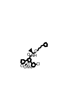 COCOc1c(-c2cccc(Cl)c2)cc(C(=O)NC(COCCCCc2ccccc2)C2CC2)cc1-c1cccc(Cl)c1